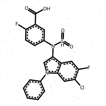 O=C(O)c1cc(N(c2cn(-c3ccccc3)c3cc(Cl)c(F)cc23)[SH](=O)=O)ccc1F